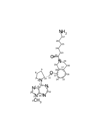 Cn1cnc2c(N3CCC[C@@H]3COc3cccc4c3CN(C(=O)CCCCCN)CC4)ncnc21